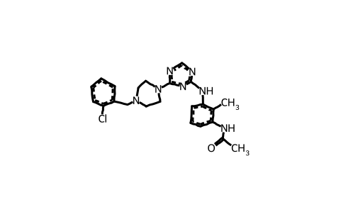 CC(=O)Nc1cccc(Nc2ncnc(N3CCN(Cc4ccccc4Cl)CC3)n2)c1C